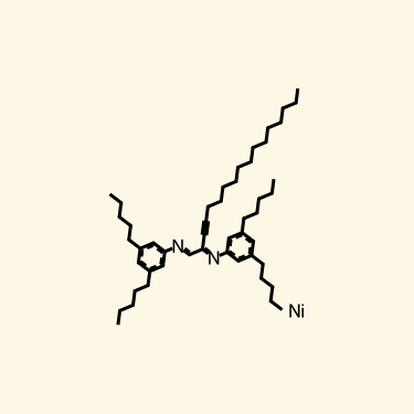 CCCCCCCCCCCCCC#CC(/C=N/c1cc(CCCCC)cc(CCCCC)c1)=N\c1cc(CCCCC)cc(CCCCC)c1.[Ni]